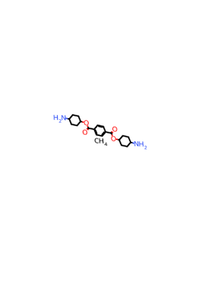 C.NC1CCC(OC(=O)c2ccc(C(=O)OC3CCC(N)CC3)cc2)CC1